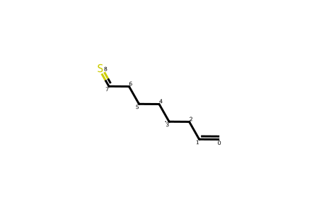 C=CC[CH]CCCC=S